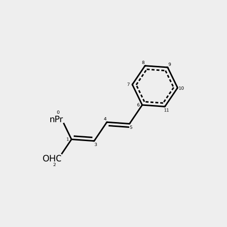 CCC/C(C=O)=C\C=C\c1ccccc1